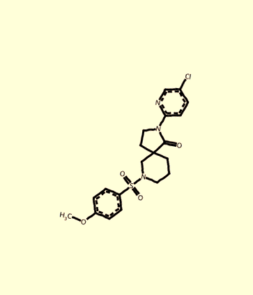 COc1ccc(S(=O)(=O)N2CCCC3(CCN(c4ccc(Cl)cn4)C3=O)C2)cc1